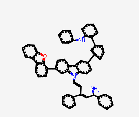 NC(/C=C(\C=C\n1c2ccc(-c3cccc(-c4ccccc4Nc4ccccc4)c3)cc2c2ccc(-c3cccc4c3oc3ccccc34)cc21)c1ccccc1)c1ccccc1